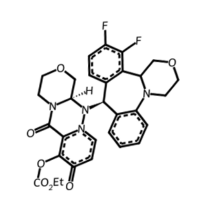 CCOC(=O)Oc1c2n(ccc1=O)N([C@@H]1c3ccccc3N3CCOCC3c3c1ccc(F)c3F)[C@@H]1COCCN1C2=O